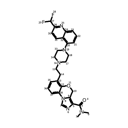 CN(C)C(=O)c1ncn2c1COc1c(CCN3CCN(c4cccc5nc(C(F)F)ccc45)CC3)cccc1-2